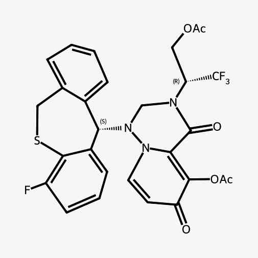 CC(=O)OC[C@@H](N1CN([C@H]2c3ccccc3CSc3c(F)cccc32)n2ccc(=O)c(OC(C)=O)c2C1=O)C(F)(F)F